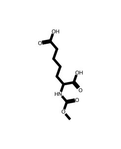 COC(=O)NC(CCCCC(=O)O)C(=O)O